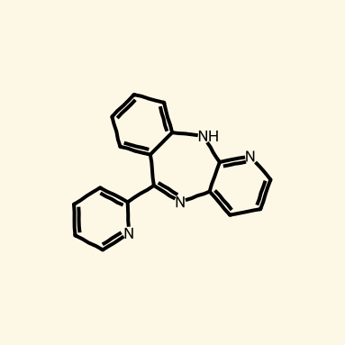 c1ccc(C2=Nc3cccnc3Nc3ccccc32)nc1